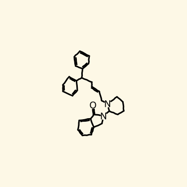 O=C1c2ccccc2CN1C1CCCCN1CC=CCC(c1ccccc1)c1ccccc1